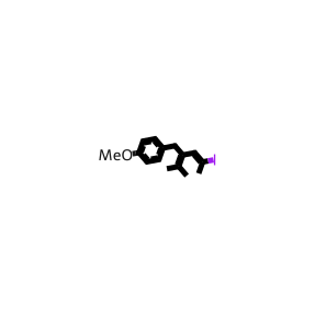 COc1ccc(CC(/C=C(\C)I)=C(C)C)cc1